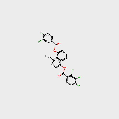 Cc1ccc(OC(=O)c2ccc(F)c(F)c2F)c2cccc(OC(=O)c3ccc(F)c(F)c3)c12